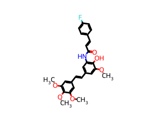 COc1cc(/C=C/c2cc(OC)c(OC)c(OC)c2)cc(NC(=O)/C=C/c2ccc(F)cc2)c1O